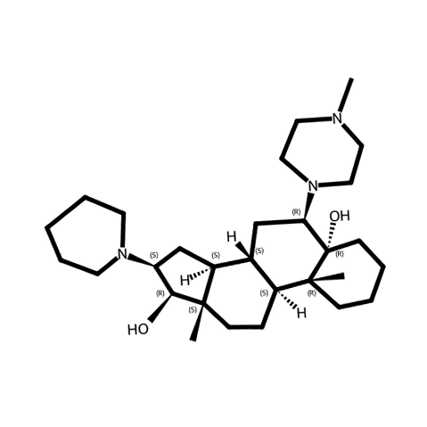 CN1CCN([C@@H]2C[C@H]3[C@@H]4C[C@H](N5CCCCC5)[C@H](O)[C@@]4(C)CC[C@@H]3[C@@]3(C)CCCC[C@]23O)CC1